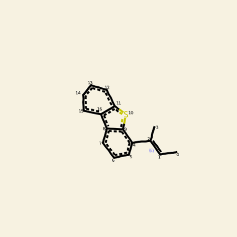 C/C=C(\C)c1cccc2c1sc1ccccc12